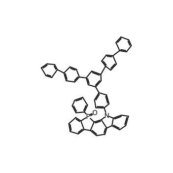 O=P1(c2ccccc2)c2ccccc2-c2ccc3c4ccccc4n(-c4ccc(-c5cc(-c6ccc(-c7ccccc7)cc6)cc(-c6ccc(-c7ccccc7)cc6)c5)cc4)c3c21